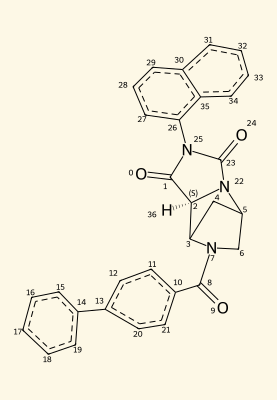 O=C1[C@@H]2C3CC(CN3C(=O)c3ccc(-c4ccccc4)cc3)N2C(=O)N1c1cccc2ccccc12